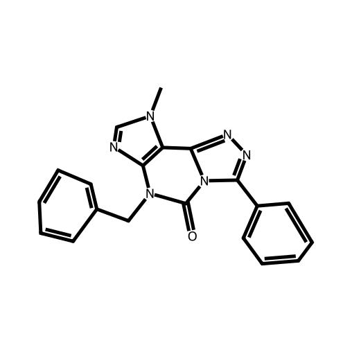 Cn1cnc2c1c1nnc(-c3ccccc3)n1c(=O)n2Cc1ccccc1